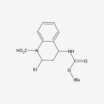 CCC1CC(NC(=O)OC(C)(C)C)c2ccccc2N1C(=O)O